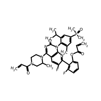 C=CC(=O)Oc1cccc(F)c1-c1nc2c(cc1F)c(N1CCN(C(=O)C=C)CC1C)nc(=O)n2-c1c(C)cc(P(C)(C)=O)cc1C(C)C